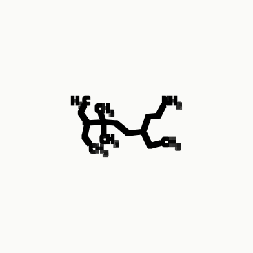 CC[C](CC)C(C)(C)CCC(CC)CCN